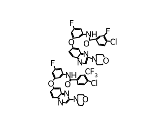 O=C(Nc1cc(F)cc(Oc2ccc3ncc(N4CCOCC4)nc3c2)c1)c1ccc(Cl)c(C(F)(F)F)c1.O=C(Nc1cc(F)cc(Oc2ccc3ncc(N4CCOCC4)nc3c2)c1)c1ccc(Cl)c(F)c1